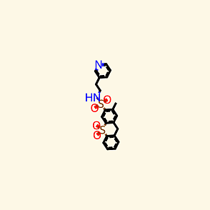 Cc1cc2c(cc1S(=O)(=O)NCCc1cccnc1)S(=O)(=O)c1ccccc1C2